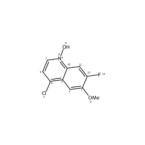 COc1cc2c(Cl)cc[n+](O)c2cc1F